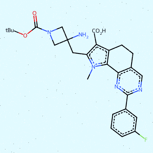 Cn1c(CC2(N)CN(C(=O)OC(C)(C)C)C2)c(C(=O)O)c2c1-c1nc(-c3cccc(F)c3)ncc1CC2